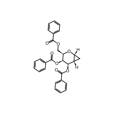 O=C(OC[C@H]1O[C@@H]2C[C@@H]2[C@@H](OC(=O)c2ccccc2)[C@H]1OC(=O)c1ccccc1)c1ccccc1